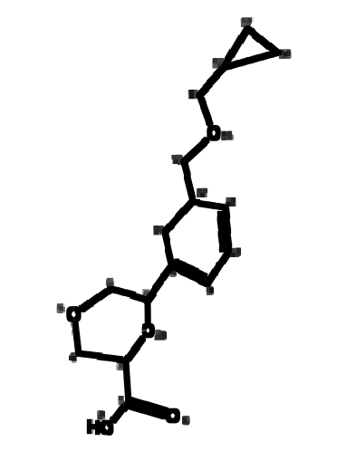 O=C(O)C1COCC(C2=CC=CC(COCC3CC3)C2)O1